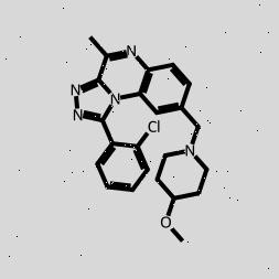 COC1CCN(Cc2ccc3nc(C)c4nnc(-c5ccccc5Cl)n4c3c2)CC1